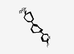 CCCC1CCC(c2ccc(-c3ccc(F)nc3)cc2)CC1